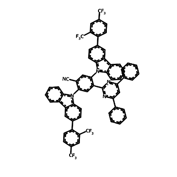 N#Cc1cc(-n2c3ccccc3c3cc(-c4ccc(C(F)(F)F)cc4C(F)(F)F)ccc32)c(-c2nc(-c3ccccc3)cc(-c3ccccc3)n2)cc1-n1c2ccccc2c2cc(-c3ccc(C(F)(F)F)cc3C(F)(F)F)ccc21